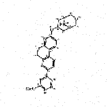 COc1cc(-c2ccc3c(c2)COc2nc(OC4CC5COCC(C4)N5)ccc2-3)cnn1